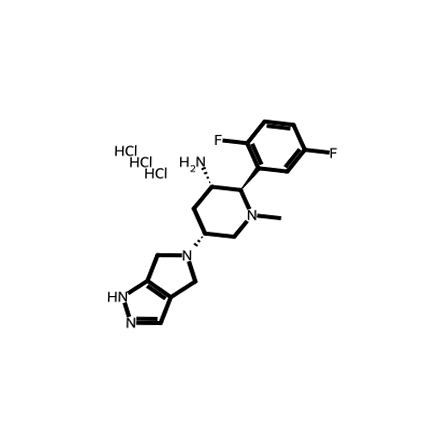 CN1C[C@H](N2Cc3cn[nH]c3C2)C[C@H](N)[C@H]1c1cc(F)ccc1F.Cl.Cl.Cl